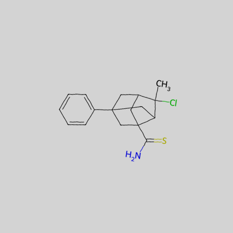 CC1(Cl)C2CC3(c4ccccc4)CC1C(C(N)=S)(C2)C3